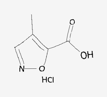 Cc1cnoc1C(=O)O.Cl